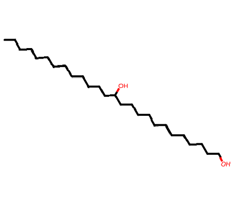 CCCCCCCCCCCCCC(O)CCCCCCCCCCCCO